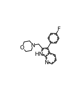 Fc1ccc(-c2c(CN3CCOCC3)[nH]c3ncccc23)cc1